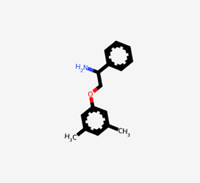 Cc1cc(C)cc(OCC(N)c2ccccc2)c1